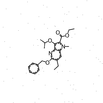 CCOC(=O)c1c(OC(C)C)c2nc(OCc3ccccc3)c(CC)cc2n1C